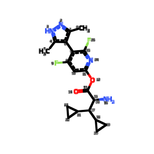 Cc1n[nH]c(C)c1-c1c(F)cc(OC(=O)[C@@H](N)C(C2CC2)C2CC2)nc1F